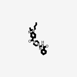 CCCCn1c(C)nc2cc(C(=O)N3CCN(c4nc5ccccc5c(=O)[nH]4)CC3)ccc21